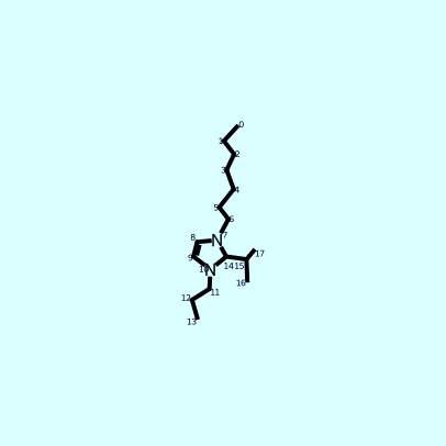 CCCCCCCN1C=CN(CCC)C1C(C)C